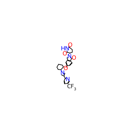 O=C1CCC(N2Cc3cc(O[C@@H]4CCCCC4N4CC(c5ccc(C(F)(F)F)cn5)C4)ccc3C2=O)C(=O)N1